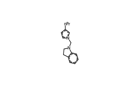 CCCc1ccn(CN2CCc3ccccc32)c1